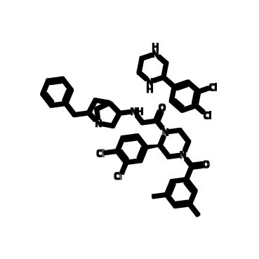 Cc1cc(C)cc(C(=O)N2CCN(C(=O)CNC3CN4CC3CC4Cc3ccccc3)[C@H](c3ccc(Cl)c(Cl)c3)C2)c1.Clc1ccc(C2CNCCN2)cc1Cl